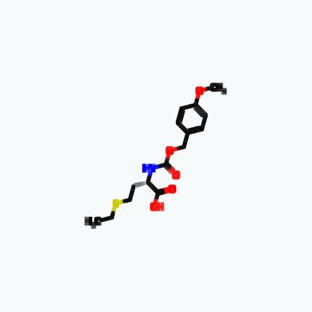 CCSCC[C@H](NC(=O)OCc1ccc(OC)cc1)C(=O)O